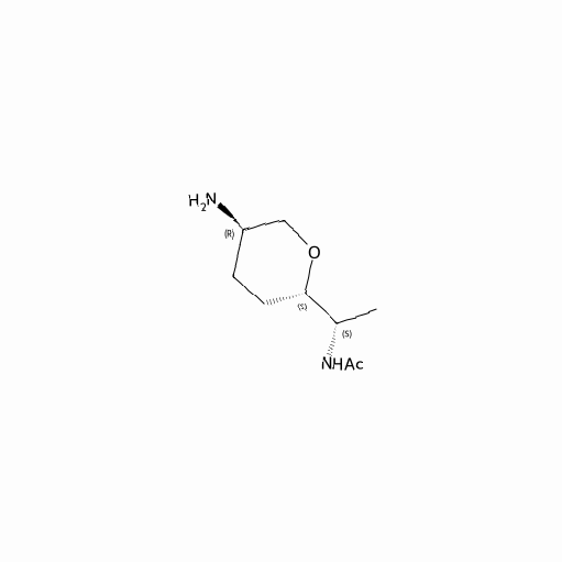 CC(=O)N[C@@H](C)[C@@H]1CC[C@@H](N)CO1